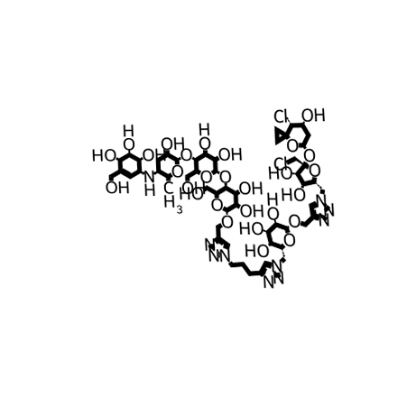 CC1O[C@H](O[C@@H]2C(CO)O[C@H](O[C@@H]3C(CO)O[C@@H](OCc4cn(CCCc5cn(C[C@H]6O[C@@H](OCc7cn(C[C@H]8O[C@@](CCl)(O[C@@H]9C[C@@H](O)[C@@H](Cl)C%10(CC%10)O9)[C@@H](O)[C@@H]8O)nn7)[C@@H](O)[C@@H](O)[C@@H]6O)nn5)nn4)C(O)C3O)C(O)C2O)C(O)C[C@@H]1N[C@H]1C=C(CO)[C@@H](O)[C@H](O)[C@H]1O